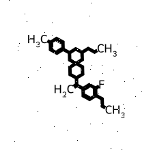 C=C(c1ccc(CCC)c(F)c1)C1CCC2(CC1)CC(CCC)CC(c1ccc(C)cc1)C2